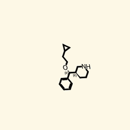 c1ccc([C@H](OCCC2CC2)[C@@H]2CCCNC2)cc1